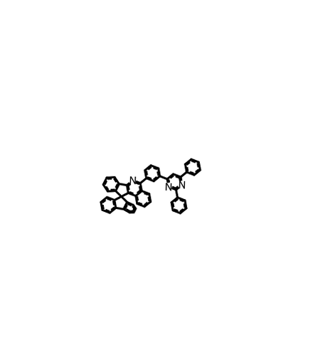 c1ccc(-c2cc(-c3cccc(-c4nc5c(c6ccccc46)C4(c6ccccc6-c6ccccc64)c4ccccc4-5)c3)nc(-c3ccccc3)n2)cc1